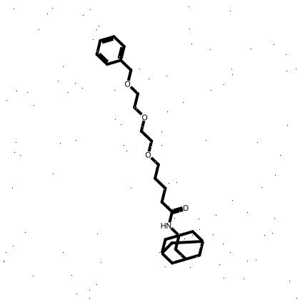 O=C(CCCCOCCOCCOCc1ccccc1)NC12CC3CC(CC(C3)C1)C2